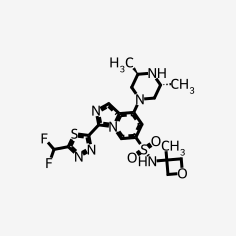 C[C@@H]1CN(c2cc(S(=O)(=O)NC3(C)COC3)cn3c(-c4nnc(C(F)F)s4)ncc23)C[C@@H](C)N1